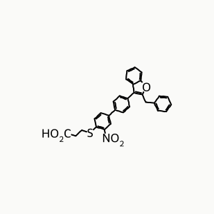 O=C(O)CCSc1ccc(-c2ccc(-c3c(Cc4ccccc4)oc4ccccc34)cc2)cc1[N+](=O)[O-]